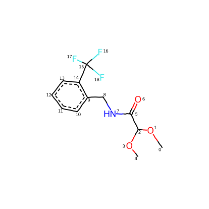 COC(OC)C(=O)NCc1ccccc1C(F)(F)F